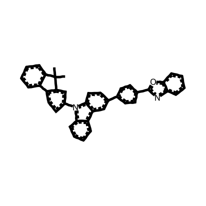 CC1(C)c2ccccc2-c2ccc(-n3c4ccccc4c4cc(-c5ccc(-c6nc7ccccc7o6)cc5)ccc43)cc21